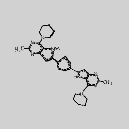 Cc1nc(N2CCCCC2)c2[nH]c(-c3ccc(-c4cc5nc(C)nc(N6CCCCC6)c5[nH]4)cc3)cc2n1